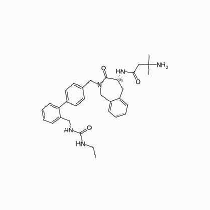 CCNC(=O)NCc1ccccc1-c1ccc(CN2Cc3ccccc3C[C@@H](NC(=O)CC(C)(C)N)C2=O)cc1